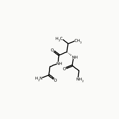 CC(C)[C@H](NC(=O)CN)C(=O)NCC(N)=O